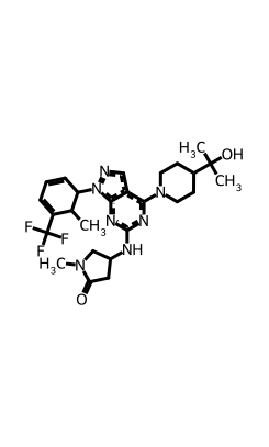 CC1C(C(F)(F)F)=CC=CC1n1ncc2c(N3CCC(C(C)(C)O)CC3)nc(NC3CC(=O)N(C)C3)nc21